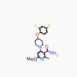 COc1cc(N2CCC(Oc3ccc(F)cc3F)CC2)c(C(N)=O)c(C)n1